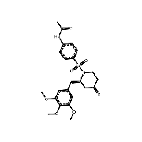 COc1cc(C=C2CC(=O)CCN2S(=O)(=O)c2ccc(NC(C)=O)cc2)cc(OC)c1OC